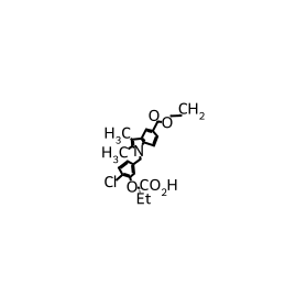 C=CCOC(=O)c1ccc2c(c1)c(C)c(C)n2Cc1ccc(Cl)c(O[C@@H](CC)C(=O)O)c1